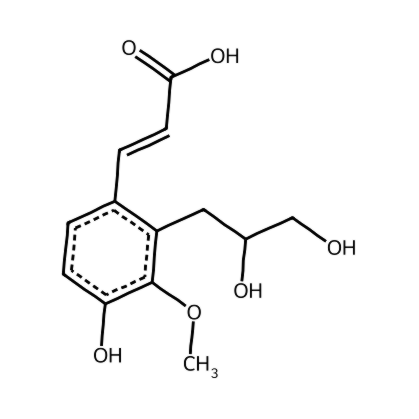 COc1c(O)ccc(C=CC(=O)O)c1CC(O)CO